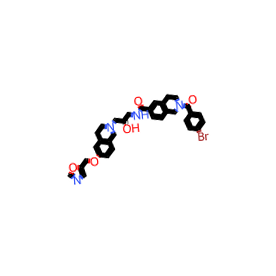 O=C(NC[C@H](O)CN1CCc2cc(OCc3cnco3)ccc2C1)c1ccc2c(c1)CCN(C(=O)c1ccc(Br)cc1)C2